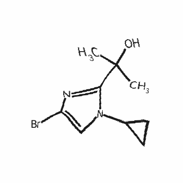 CC(C)(O)c1nc(Br)cn1C1CC1